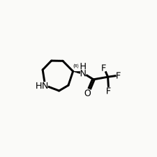 O=C(N[C@@H]1CCCNCC1)C(F)(F)F